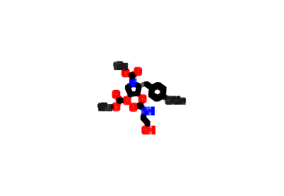 COc1ccc(C[C@@H]2[C@H](OC(=O)NCCO)[C@@H](OC(=O)OC(C)(C)C)CN2C(=O)OC(C)(C)C)cc1